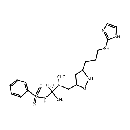 CC(NS(=O)(=O)c1ccccc1)(C(=O)O)N(C=O)CC1CC(CCCNc2ncc[nH]2)NO1